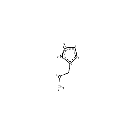 COCc1ccon1